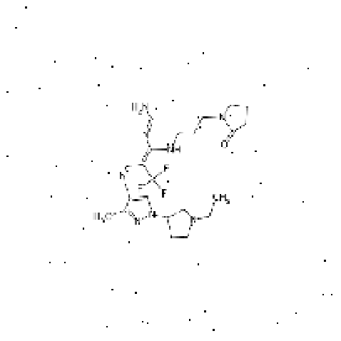 CCN1CCC(n2cc(\N=C/C(=C(\N=C\N)NCCCN3CCCC3=O)C(F)(F)F)c(C)n2)C1